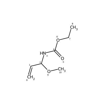 C=CC(NC(=O)OCC)OC